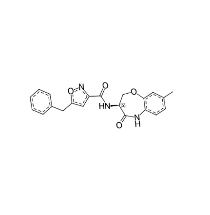 Cc1ccc2c(c1)OC[C@H](NC(=O)c1cc(Cc3ccccc3)on1)C(=O)N2